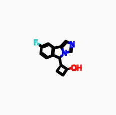 O[C@H]1CC[C@H]1[C@H]1c2ccc(F)cc2-c2cncn21